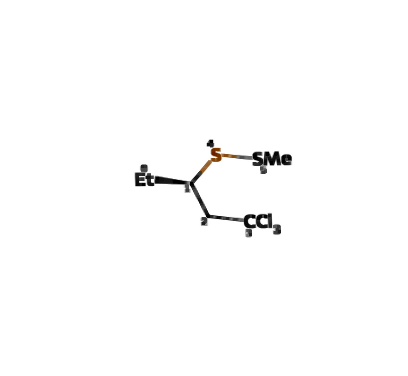 CC[C@H](CC(Cl)(Cl)Cl)SSC